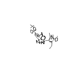 CCc1cc(-c2nnc(CNC(=O)OC(C)(C)C)o2)c(C)nc1OC